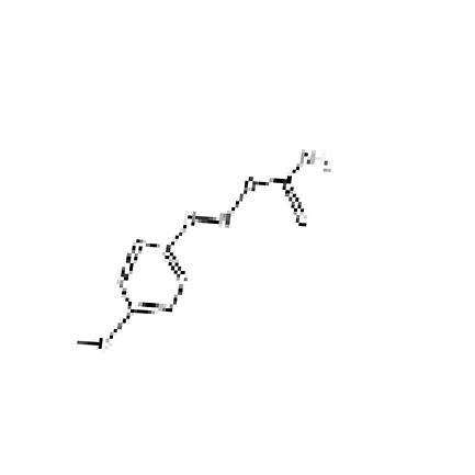 COc1ccc(N=NOC(N)=O)cc1